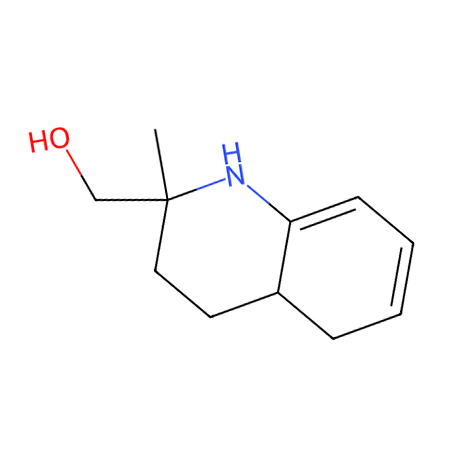 CC1(CO)CCC2CC=CC=C2N1